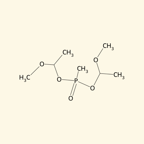 COC(C)OP(C)(=O)OC(C)OC